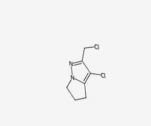 ClCc1nn2c(c1Cl)CCC2